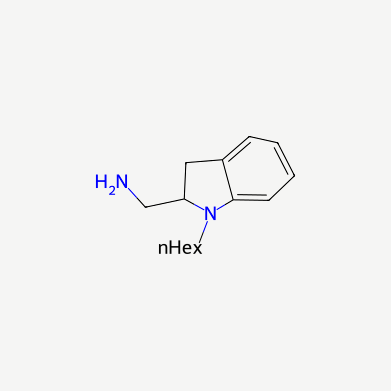 CCCCCCN1c2ccccc2CC1CN